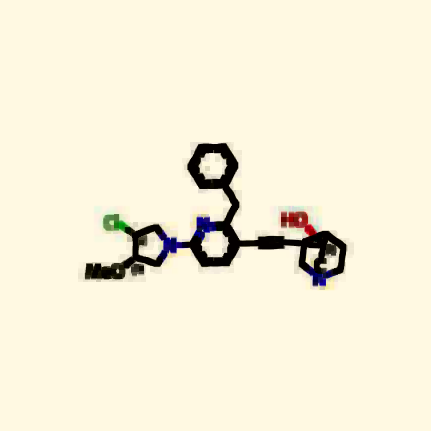 CO[C@@H]1CN(c2ccc(C#C[C@@]3(O)CN4CCC3CC4)c(Cc3ccccc3)n2)C[C@@H]1Cl